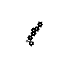 C1=CC2Nc3ccc(-c4ccc5c(ccc6cc(-c7ccccc7)ccc65)c4)cc3N2C=C1